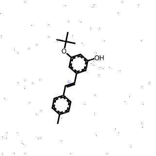 Cc1ccc(/C=C/c2cc(O)cc(OC(C)(C)C)c2)cc1